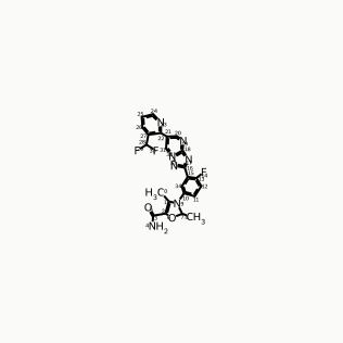 CC1=C(C(N)=O)OC(C)N1c1ccc(F)c(-c2nc3ncc(-c4ncccc4C(F)F)cn3n2)c1